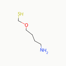 NCCCCOCS